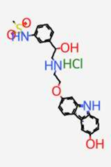 CS(=O)(=O)Nc1cccc([C@@H](O)CNCCOc2ccc3c(c2)[nH]c2ccc(O)cc23)c1.Cl